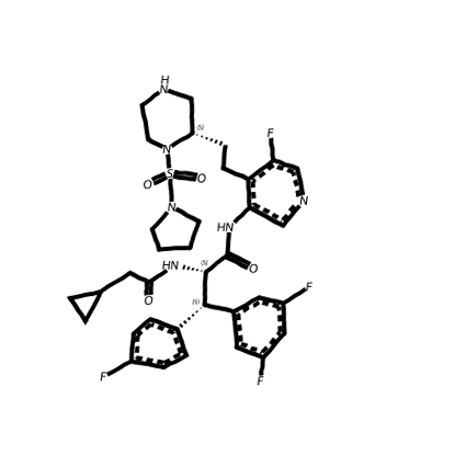 O=C(CC1CC1)N[C@H](C(=O)Nc1cncc(F)c1CC[C@H]1CNCCN1S(=O)(=O)N1CCCC1)[C@@H](c1ccc(F)cc1)c1cc(F)cc(F)c1